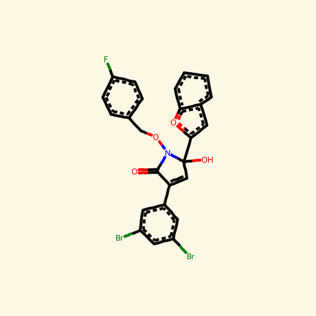 O=C1C(c2cc(Br)cc(Br)c2)=CC(O)(c2cc3ccccc3o2)N1OCc1ccc(F)cc1